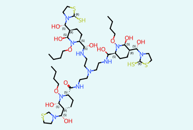 CCCCON1[C@H](C(=O)NCCN(CCNC(O)[C@@H]2CC[C@H]([C@H](O)N3CCS[C@H]3S)[C@H](O)N2OCCCC)CCN[C@@H](O)[C@@H]2CC[C@H]([C@H](O)N3CCS[C@H]3S)[C@H](O)N2OCCCC)CC[C@H]([C@H](O)N2CCSC2)[C@@H]1O